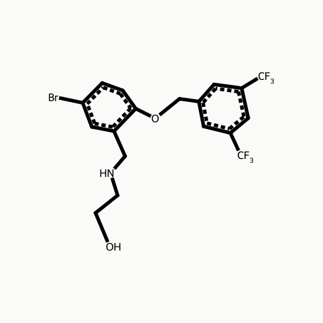 OCCNCc1cc(Br)ccc1OCc1cc(C(F)(F)F)cc(C(F)(F)F)c1